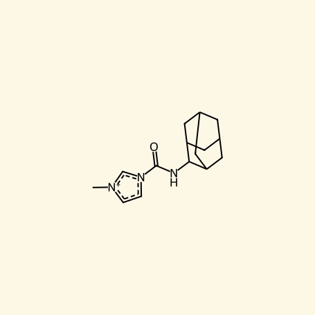 C[n+]1ccn(C(=O)NC2C3CC4CC(C3)CC2C4)c1